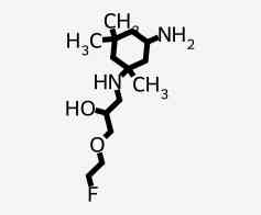 CC1(C)CC(N)CC(C)(NCC(O)COCCF)C1